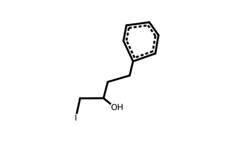 OC(CI)CCc1ccccc1